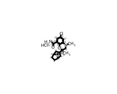 CN1CC(C)(C2CC3CCC(C2)N3C)Oc2c(C(N)=O)cc(Cl)cc21.Cl